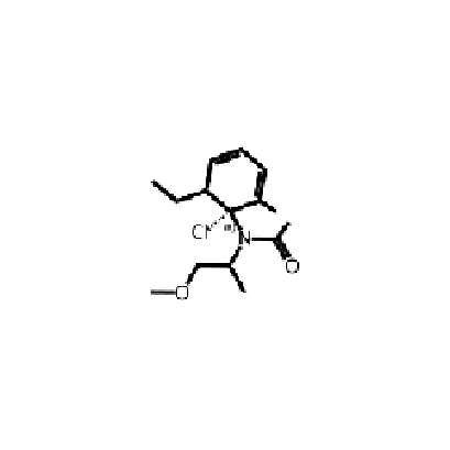 CCC1C=CC=C(C)[C@@]1(Cl)N(C(C)=O)C(C)COC